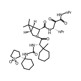 CCCNC(=O)C(=O)[C@H](CCC)NC(=O)[C@@H]1[C@@H]2[C@H](CN1C(=O)[C@@H](NC(=O)NC1([C@H]3CCCS3(=O)=O)CCCCC1)C1(C)CCCCC1)C2(C)C